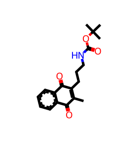 CC1=C(CCCNC(=O)OC(C)(C)C)C(=O)c2ccccc2C1=O